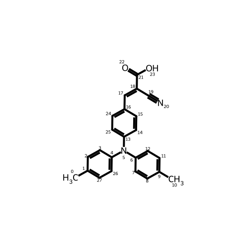 Cc1ccc(N(c2ccc(C)cc2)c2ccc(/C=C(\C#N)C(=O)O)cc2)cc1